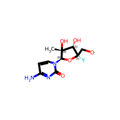 C[C@]1(O)[C@H](n2ccc(N)nc2=O)O[C@](F)(C[O])[C@H]1O